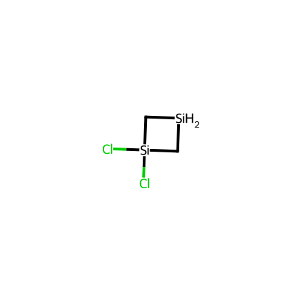 Cl[Si]1(Cl)C[SiH2]C1